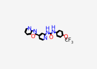 O=C(Nc1ccc(OC(F)(F)F)cc1)Nc1cc(-c2nc3ncccc3o2)ccn1